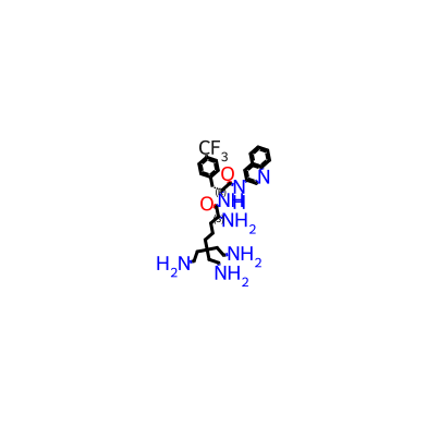 NCCC(CCN)(CCN)CCC[C@H](N)C(=O)N[C@H](Cc1ccc(C(F)(F)F)cc1)C(=O)Nc1cnc2ccccc2c1